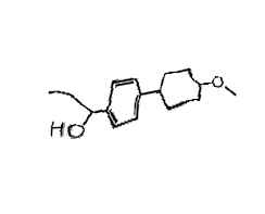 CCC(O)c1ccc(C2CCC(OC)CC2)cc1